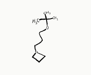 CC(C)(C)OCCCN1CCC1